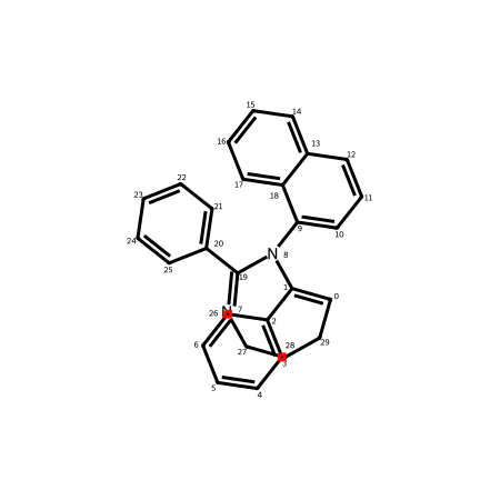 C1=C(\c2ccccc2)N(c2cccc3ccccc23)/C(c2ccccc2)=N\CCC/1